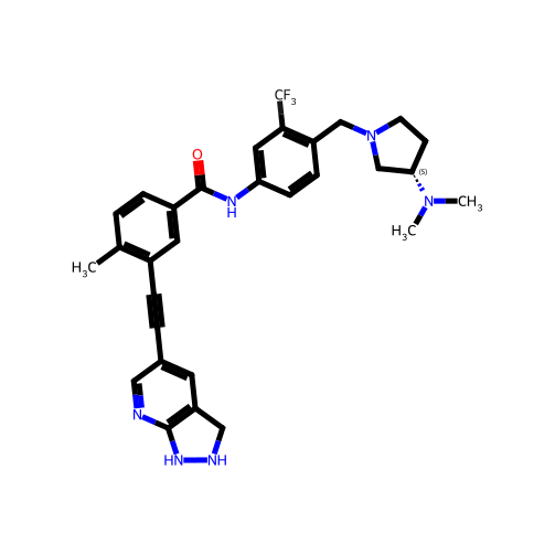 Cc1ccc(C(=O)Nc2ccc(CN3CC[C@H](N(C)C)C3)c(C(F)(F)F)c2)cc1C#Cc1cnc2c(c1)CNN2